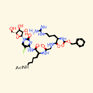 CC(=O)NCCCCC(NC(=O)CNC(=O)C(CCCNC(=N)N)NC(=O)OCc1ccccc1)C(=O)Nc1nc(=O)n([C@@H]2O[C@H](CO)C(O)[C@@H]2O)cc1F